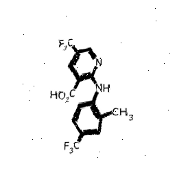 Cc1cc(C(F)(F)F)ccc1Nc1ncc(C(F)(F)F)cc1C(=O)O